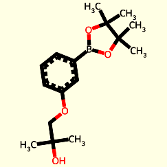 CC(C)(O)COc1cccc(B2OC(C)(C)C(C)(C)O2)c1